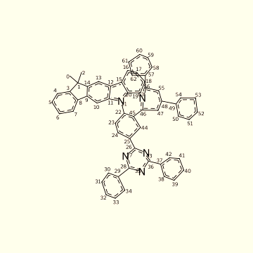 CC1(C)c2ccccc2-c2cc3c(cc21)c1ccccc1n3-c1ccc(-c2nc(-c3ccccc3)nc(-c3ccccc3)n2)cc1-c1cc(-c2ccccc2)cc(-c2ccccc2)n1